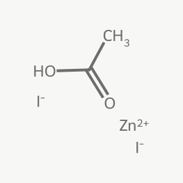 CC(=O)O.[I-].[I-].[Zn+2]